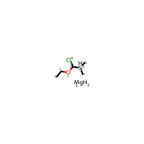 CCOC(Cl)[SiH](C)C.[MgH2]